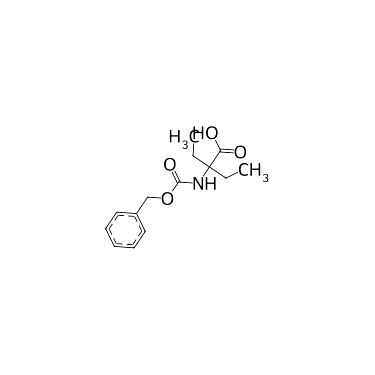 CCC(CC)(NC(=O)OCc1ccccc1)C(=O)O